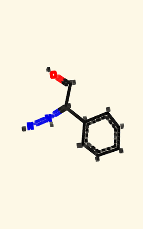 [N-]=[N+]=C([C]=O)c1ccccc1